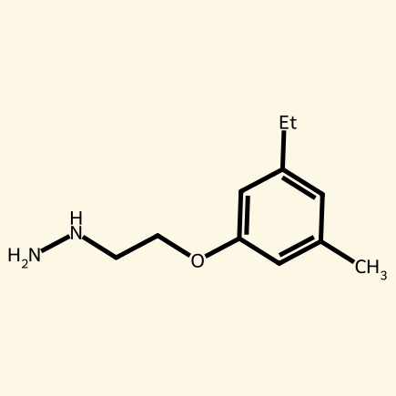 CCc1cc(C)cc(OCCNN)c1